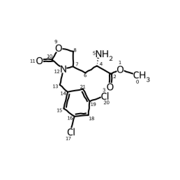 COC(=O)[C@@H](N)CC1COC(=O)N1Cc1cc(Cl)cc(Cl)c1